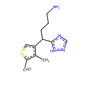 Cc1c(C(CCCN)c2ncn[nH]2)csc1C=O